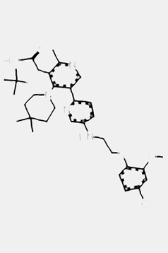 COc1cc(Cl)ccc1OCCNc1ccc(-c2cnc(C)c([C@H](OC(C)(C)C)C(=O)O)c2N2CCC(C)(C)CC2)nc1